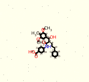 COc1cc([C@@H](O)[C@@H](CCCc2ccccc2)C(=O)Nc2ccc(C(=O)O)cc2)cc(OC)c1C